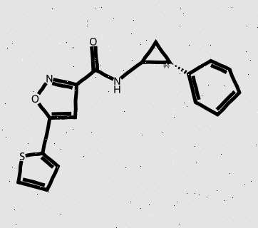 O=C(NC1C[C@@H]1c1ccccc1)c1cc(-c2cccs2)on1